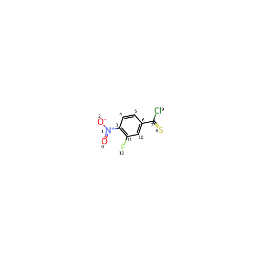 O=[N+]([O-])c1ccc(C(=S)Cl)cc1F